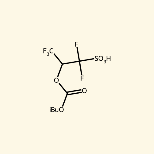 CC(C)COC(=O)OC(C(F)(F)F)C(F)(F)S(=O)(=O)O